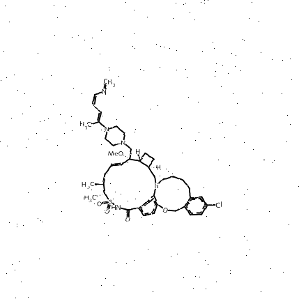 C=N/C=C\C=C(/C)N1CCN(C[C@]2(OC)/C=C/C[C@H](C)[C@@H](C)S(=O)(=O)NC(=O)c3ccc4c(c3)N(CCCCc3cc(Cl)ccc3CO4)C[C@@H]3CC[C@H]32)CC1